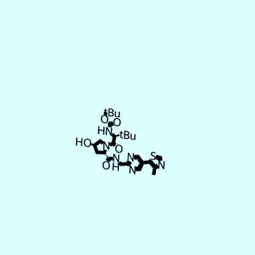 Cc1ncsc1-c1cnc(CNC(=O)[C@@H]2C[C@@H](O)CN2C(=O)[C@@H](NC(=O)OC(C)(C)C)C(C)(C)C)nc1